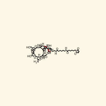 CC[C@H](C)[C@@H]1NC(=O)CNC(=O)[C@H]2Cc3c([nH]c4c(N5CCN(CCNC(=O)CCCCCNC(=O)CCCCCN6C(=O)C=CC6=O)CC5)c(O)ccc34)SC[C@H](NC(=O)CNC1=O)C(=O)N[C@@H](CC(N)=O)C(=O)N1C[C@H](O)C[C@H]1C(=O)N[C@@H]([C@@H](C)[C@@H](O)CO)C(=O)N2